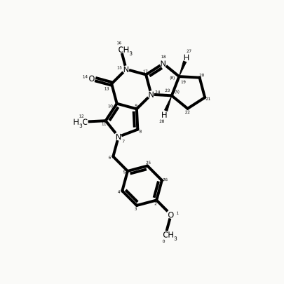 COc1ccc(Cn2cc3c(c2C)C(=O)N(C)C2=N[C@@H]4CCC[C@@H]4N23)cc1